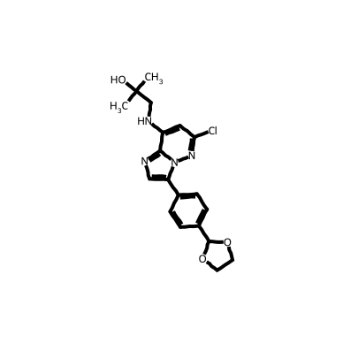 CC(C)(O)CNc1cc(Cl)nn2c(-c3ccc(C4OCCO4)cc3)cnc12